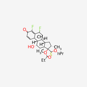 CCCOC(=S)[C@@]1(OC(=O)CC)[C@@H](C)C[C@H]2[C@@H]3C[C@H](F)C4=C(F)C(=O)C=C[C@]4(C)[C@H]3[C@@H](O)C[C@@]21C